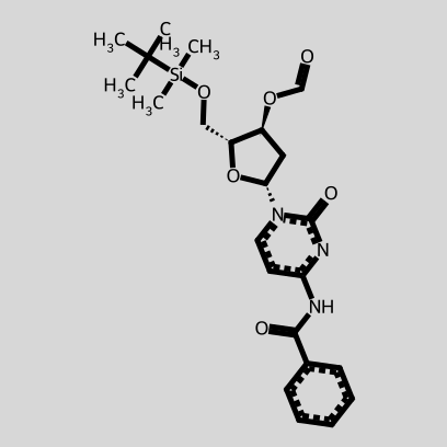 CC(C)(C)[Si](C)(C)OC[C@H]1O[C@@H](n2ccc(NC(=O)c3ccccc3)nc2=O)C[C@@H]1OC=O